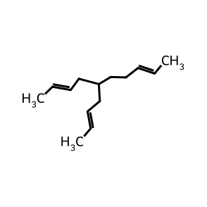 CC=CCCC(CC=CC)CC=CC